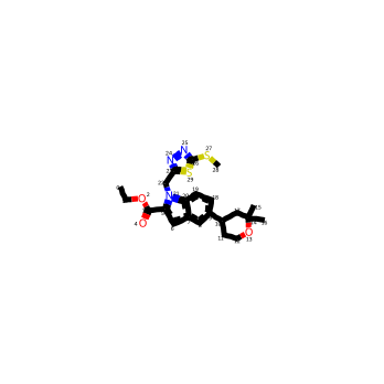 CCOC(=O)c1cc2cc(C3CCOC(C)(C)C3)ccc2n1Cc1nnc(SC)s1